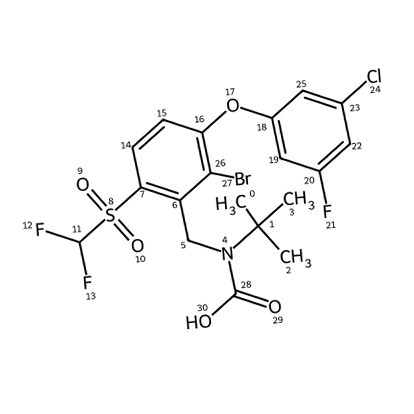 CC(C)(C)N(Cc1c(S(=O)(=O)C(F)F)ccc(Oc2cc(F)cc(Cl)c2)c1Br)C(=O)O